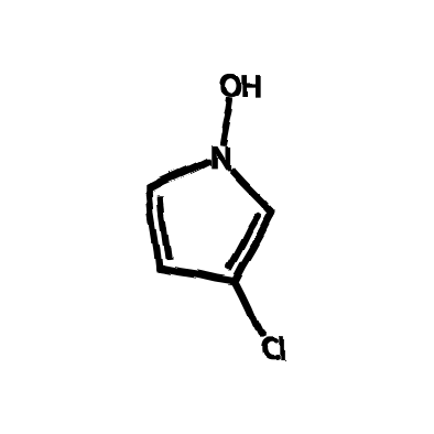 On1ccc(Cl)c1